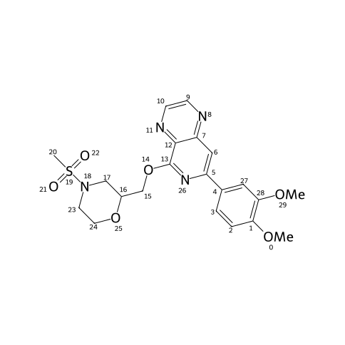 COc1ccc(-c2cc3nccnc3c(OCC3CN(S(C)(=O)=O)CCO3)n2)cc1OC